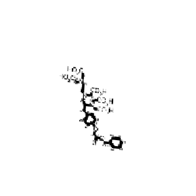 O=C(O)CN(CCN(CC(=O)O)CC(Cc1ccc(OCC(=O)OCc2ccccc2)cc1)N(CC(=O)O)CC(=O)O)CC(=O)O